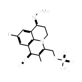 CON=C1CCN2C(COS(C)(=O)=O)=C(I)C(=C=O)c3cc(F)cc1c32